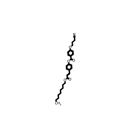 CCCCCCCCCOC(=O)/C=C/c1ccc(OC(=O)c2ccc(OCCCC#N)cc2)cc1